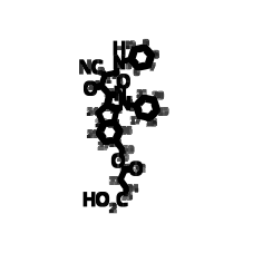 N#CC(C(=O)Nc1ccccc1)C(=O)c1nn(-c2ccccc2)c2c1Cc1ccc(COC(=O)CCC(=O)O)cc1-2